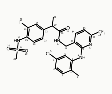 Cc1ccc(Cl)cc1Nc1nc(C(F)(F)F)ccc1CNC(=O)C(C)c1ccc(NS(C)(=O)=O)c(F)c1